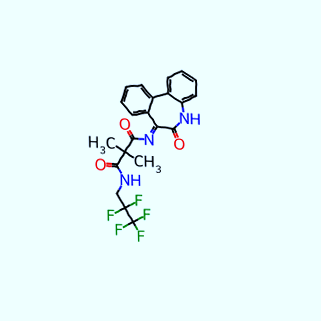 CC(C)(C(=O)/N=c1/c(=O)[nH]c2ccccc2c2ccccc12)C(=O)NCC(F)(F)C(F)(F)F